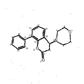 O=C1CC(N2CCOCC2)c2cccc(-c3ccccc3)c2O1